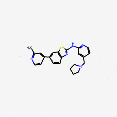 Cc1cc(-c2ccc3nc(Nc4cc(CN5CCCC5)ccn4)sc3c2)ccn1